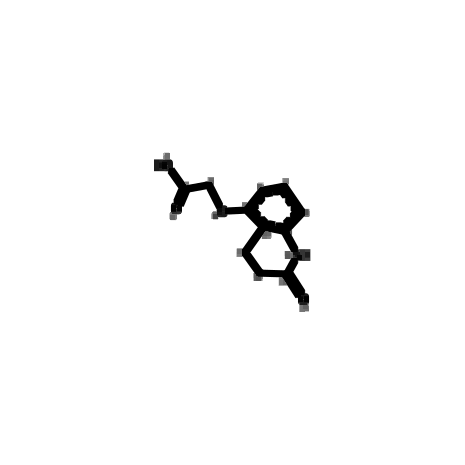 O=C(O)COc1cccc2c1CCC(=O)N2